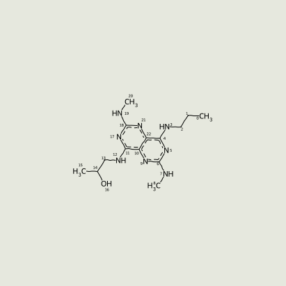 CCCNc1nc(NC)nc2c(NCC(C)O)nc(NC)nc12